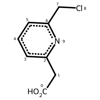 O=C(O)Cc1cccc(CCl)n1